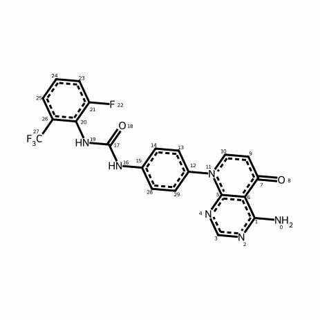 Nc1ncnc2c1c(=O)ccn2-c1ccc(NC(=O)Nc2c(F)cccc2C(F)(F)F)cc1